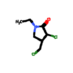 CCN1CC(CCl)C(Cl)C1=O